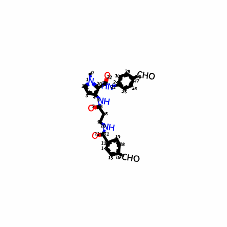 Cn1ccc(NC(=O)CCNC(=O)c2ccc(C=O)cc2)c1C(=O)Nc1ccc(C=O)cc1